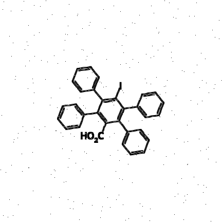 O=C(O)c1c(-c2ccccc2)c(-c2ccccc2)c(I)c(-c2ccccc2)c1-c1ccccc1